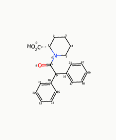 O=C(O)[C@@H]1CCCCN1C(=O)C(c1ccccc1)c1ccccc1